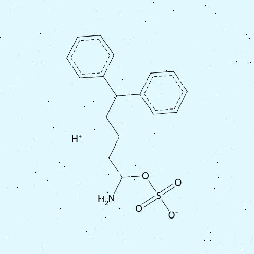 NC(CCCC(c1ccccc1)c1ccccc1)OS(=O)(=O)[O-].[H+]